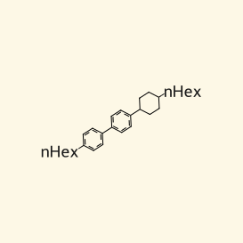 CCCCCCc1ccc(-c2ccc(C3CCC(CCCCCC)CC3)cc2)cc1